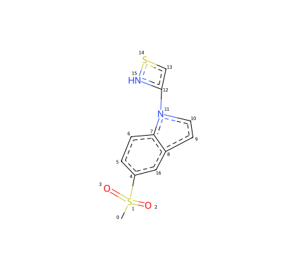 CS(=O)(=O)c1ccc2c(ccn2-c2cs[nH]2)c1